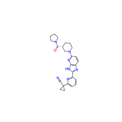 N#CC1(c2cccc(-c3nc4ccc(N5CCC[C@@H](C(=O)N6CCCC6)C5)nc4[nH]3)n2)CC1